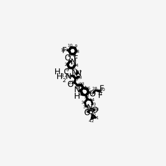 Cc1cc(Oc2c(F)cccc2F)ncc1-n1ncc(C(=O)c2cc3cc(OCC(F)F)c(C4CCN(S(=O)(=O)C5CC5)CC4)cc3[nH]2)c1N